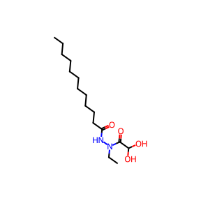 CCCCCCCCCCCC(=O)NN(CC)C(=O)C(O)O